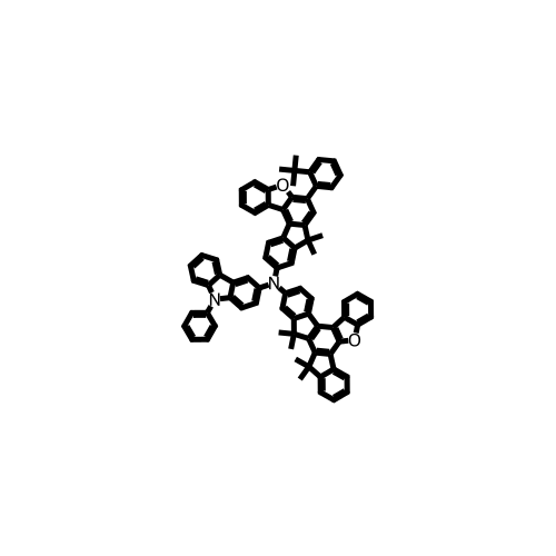 CC(C)(C)c1ccccc1-c1cc2c(c3c1oc1ccccc13)-c1ccc(N(c3ccc4c(c3)C(C)(C)c3c5c(c6oc7ccccc7c6c3-4)-c3ccccc3C5(C)C)c3ccc4c(c3)c3ccccc3n4-c3ccccc3)cc1C2(C)C